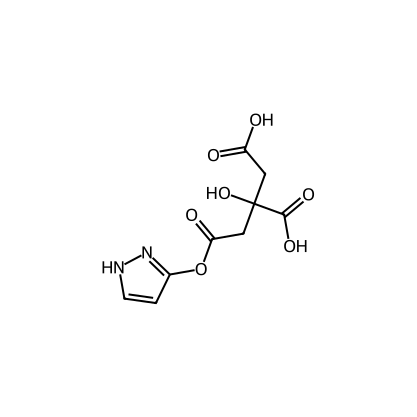 O=C(O)CC(O)(CC(=O)Oc1cc[nH]n1)C(=O)O